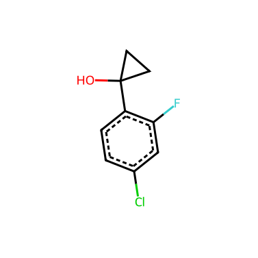 OC1(c2ccc(Cl)cc2F)CC1